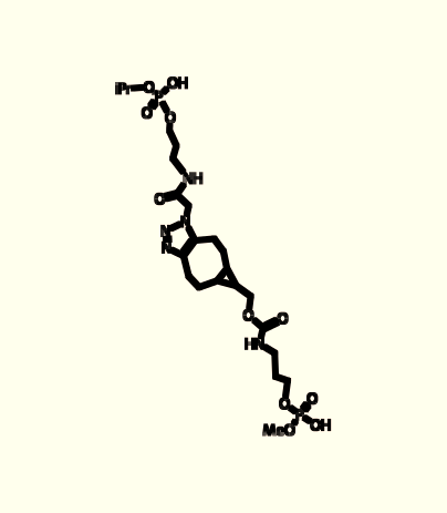 COP(=O)(O)OCCCNC(=O)OCC1C2CCc3nnn(CC(=O)NCCCOP(=O)(O)OC(C)C)c3CCC21